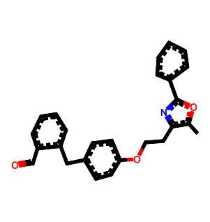 Cc1oc(-c2ccccc2)nc1CCOc1ccc(Cc2ccccc2C=O)cc1